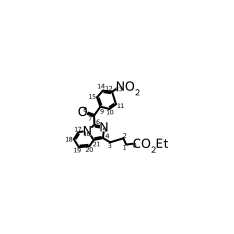 CCOC(=O)CCCc1nc(C(=O)c2ccc([N+](=O)[O-])cc2)n2ccccc12